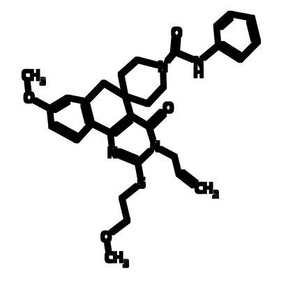 C=CCn1c(SCCOC)nc2c(c1=O)C1(CCN(C(=O)Nc3ccccc3)CC1)Cc1cc(OC)ccc1-2